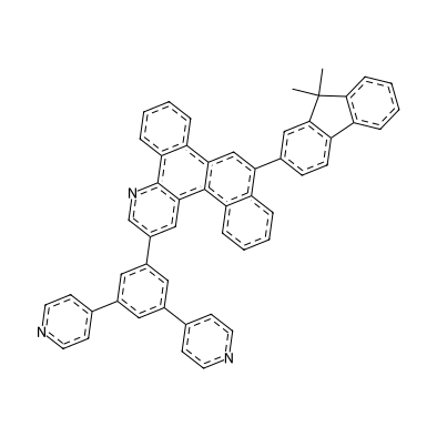 CC1(C)c2ccccc2-c2ccc(-c3cc4c5ccccc5c5ncc(-c6cc(-c7ccncc7)cc(-c7ccncc7)c6)cc5c4c4ccccc34)cc21